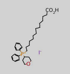 O=C(O)CCCCCCCCCCCCC[P+](c1ccccc1)(c1ccccc1)C1CCOCC1.[I-]